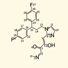 C/N=C\C(=O)/C(O)=C/c1nccn1CCC(c1ccc(F)cc1)c1ccc(F)cc1